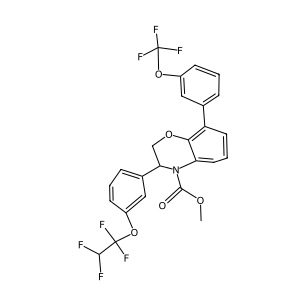 COC(=O)N1c2cccc(-c3cccc(OC(F)(F)F)c3)c2OCC1c1cccc(OC(F)(F)C(F)F)c1